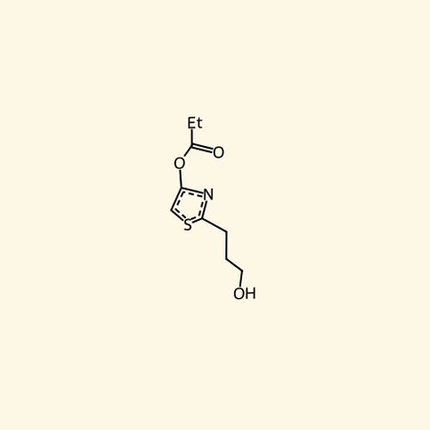 CCC(=O)Oc1csc(CCCO)n1